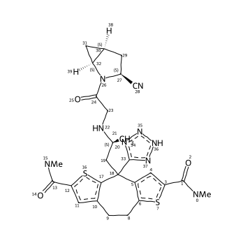 CNC(=O)c1cc2c(s1)CCc1cc(C(=O)NC)sc1C2(C[C@H](C)NCC(=O)N1[C@H](C#N)C[C@@H]2C[C@@H]21)c1nn[nH]n1